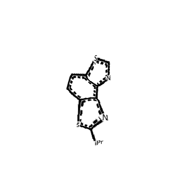 CC(C)c1nc2c(ccc3scnc32)s1